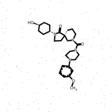 COc1cccc(N2CCN(C(=O)N3CCC[C@@]4(CCN([C@H]5CC[C@H](O)CC5)C4=O)C3)CC2)c1